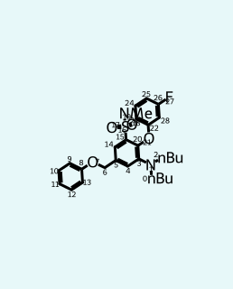 CCCCN(CCCC)c1cc(COc2ccccc2)cc(S(=O)(=O)NC)c1Oc1cccc(F)c1